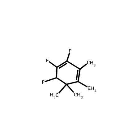 CC1=C(C)C(C)(C)C(F)C(F)=C1F